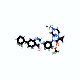 CN1CCN(C2(C(=O)Nc3cc(-n4cnc5cc(-c6ccccc6F)ccc5c4=O)ccc3OC(F)F)CC2)CC1